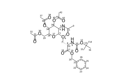 CC(=O)NC1C(OC[C@H](NC(=O)OC(C)(C)C)C(=O)OCc2ccccc2)OC(COC(C)=O)C(OC(C)=O)C1OC(C)=O